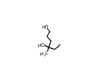 CC(O)(CF)CCCO